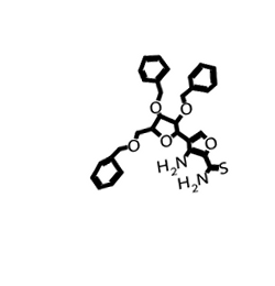 NC(=S)c1occ(C2OC(COCc3ccccc3)C(OCc3ccccc3)C2OCc2ccccc2)c1N